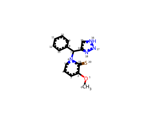 COc1cccn(C(c2ccccc2)c2c[nH]nn2)c1=S